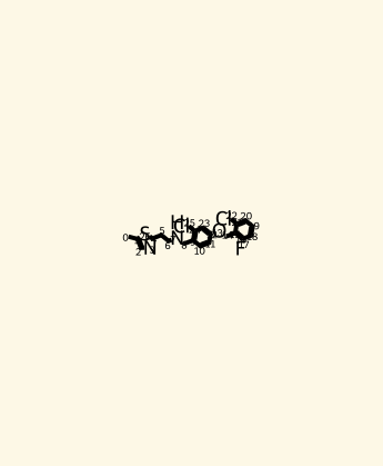 Cc1cnc(CCNCc2ccc(OCc3c(F)cccc3Cl)cc2Cl)s1